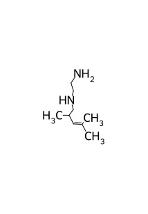 CC(C)=CC(C)CNCCN